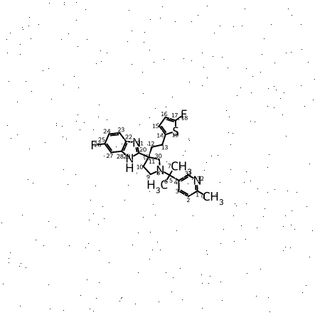 Cc1ccc(C(C)(C)N2CC[C@](CCc3ccc(F)s3)(c3nc4ccc(F)cc4[nH]3)C2)cn1